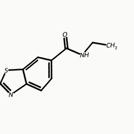 CCNC(=O)c1ccc2ncsc2c1